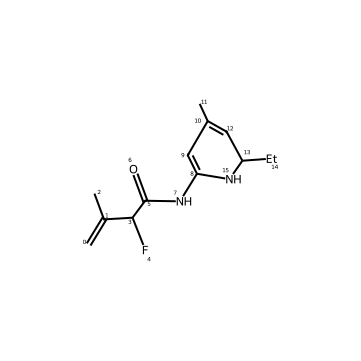 C=C(C)C(F)C(=O)NC1=CC(C)=CC(CC)N1